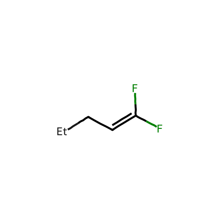 CCCC=C(F)F